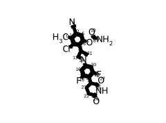 Cc1c(C#N)cc(OC(N)=O)c(C2CN(c3cc(F)c(C4CCC(=O)NC4=O)c(F)c3)C2)c1Cl